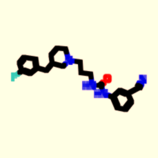 N#Cc1cccc(NC(=O)NCCCN2CCCC(Cc3cccc(F)c3)C2)c1